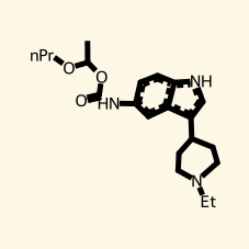 CCCOC(C)OC(=O)Nc1ccc2[nH]cc(C3CCN(CC)CC3)c2c1